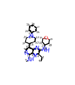 CCc1nc2c(NC)ncc(C3CCN(c4ccccc4)CC3)c2nc1NC1CCOCC1